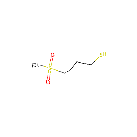 CCS(=O)(=O)CCCS